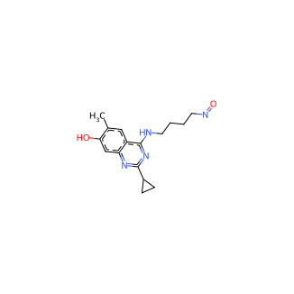 Cc1cc2c(NCCCCN=O)nc(C3CC3)nc2cc1O